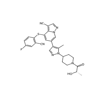 Cc1c(-c2cc(Sc3ccc(F)cc3C#N)c3c(C#N)cnn3c2)cnn1C1CCN(C(=O)[C@H](C)O)CC1